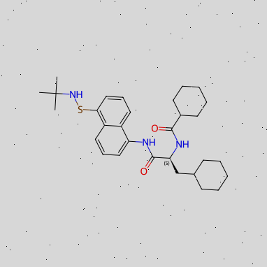 CC(C)(C)NSc1cccc2c(NC(=O)[C@H](CC3CCCCC3)NC(=O)C3CCCCC3)cccc12